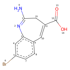 NC1=Nc2cc(Br)ccc2C=C(C(=O)O)C1